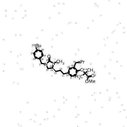 COC(=O)C(C)(C)Oc1ccc(CCC[C@H]2CN(Cc3ccc(C(C)(C)C)cc3)C(=O)N2C)cc1CC(C)C